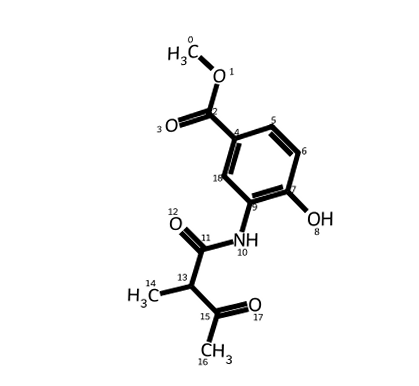 COC(=O)c1ccc(O)c(NC(=O)C(C)C(C)=O)c1